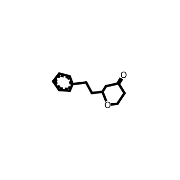 O=C1CCOC(CCc2ccccc2)C1